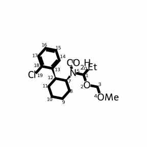 CCC(OCOC)N(C(=O)O)[C@H]1CCCC[C@H]1c1ccccc1Cl